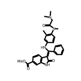 COC(=O)c1ccc2c(c1)NC(=O)C2=C(Nc1ccc(N(C)C(=O)CN(C)C)c(C)c1)c1ccccc1